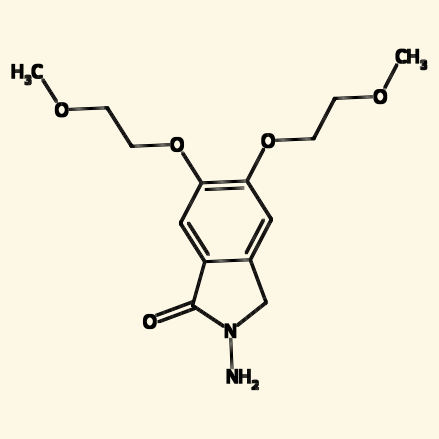 COCCOc1cc2c(cc1OCCOC)C(=O)N(N)C2